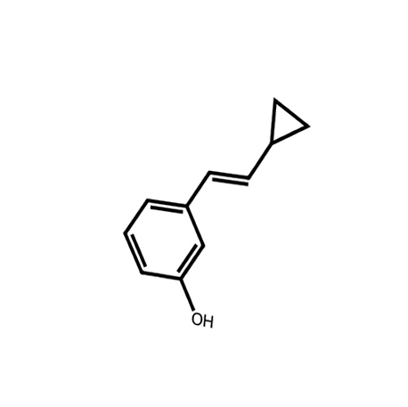 Oc1cccc(C=CC2CC2)c1